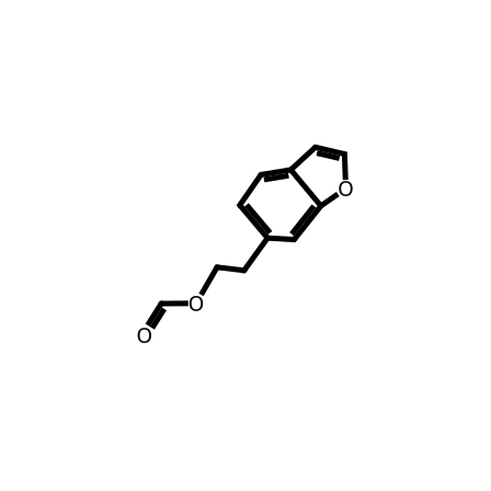 O=COCCc1ccc2ccoc2c1